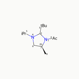 CC(=O)N1C(C(C)(C)C)N(C(C)C)C[C@@H]1C